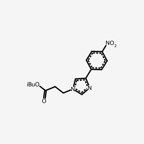 CC(C)COC(=O)CCn1cnc(-c2ccc([N+](=O)[O-])cc2)c1